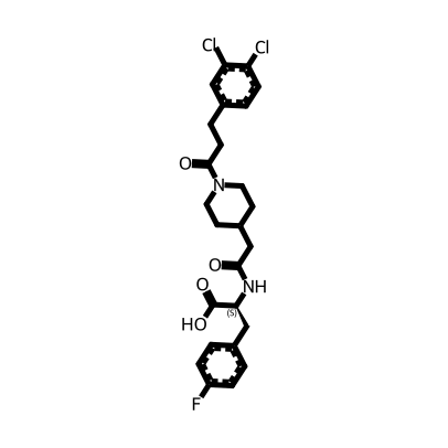 O=C(CC1CCN(C(=O)CCc2ccc(Cl)c(Cl)c2)CC1)N[C@@H](Cc1ccc(F)cc1)C(=O)O